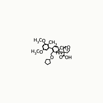 COc1cc(OC)c(C)c(C2=C(COC3CCCC3)CC(C)(NC3(C(=O)O)CCOCC3)C=C2)c1